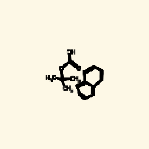 CC(C)(C)OC(=O)O.c1ccc2ccccc2c1